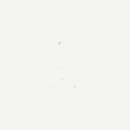 CCCCC(C)OP(O)O